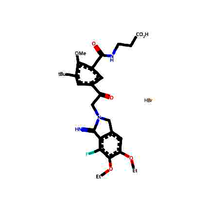 Br.CCOc1cc2c(c(F)c1OCC)C(=N)N(CC(=O)c1cc(C(=O)NCCC(=O)O)c(OC)c(C(C)(C)C)c1)C2